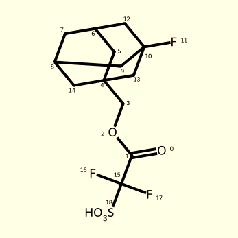 O=C(OCC12CC3CC(CC(F)(C3)C1)C2)C(F)(F)S(=O)(=O)O